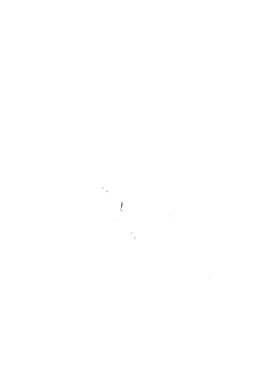 Cc1cc(C(F)(F)F)cc(N2C(=O)CC[C@H]2C(=O)N2CCCc3cc(F)ccc32)n1